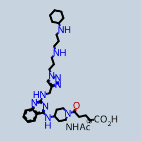 CC(=O)N[C@@H](CCC(=O)N1CCC(Nc2nc(NCc3cn(CCCNCCCNC4CCCCC4)nn3)nc3ccccc23)CC1)C(=O)O